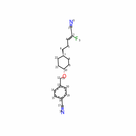 N#CC(F)=CCC[C@H]1CC[C@H](OCc2ccc(C#N)cc2)CC1